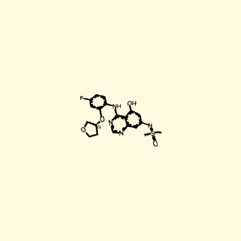 CS(C)(=O)=Nc1cc(O)c2c(Nc3ccc(F)cc3O[C@H]3CCOC3)ncnc2c1